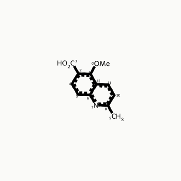 COc1c(C(=O)O)ccc2nc(C)ccc12